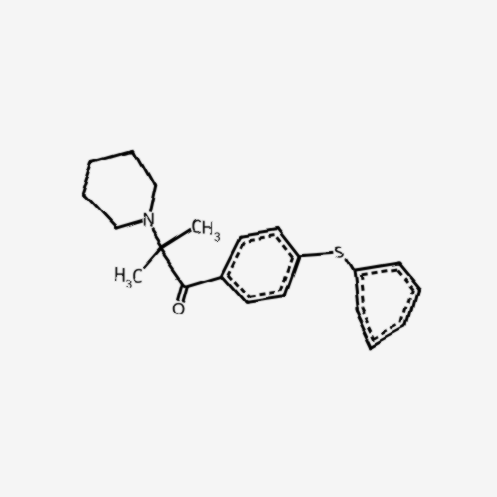 CC(C)(C(=O)c1ccc(Sc2ccccc2)cc1)N1CCCCC1